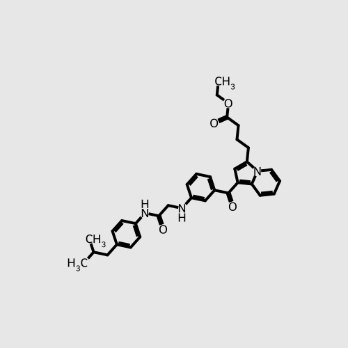 CCOC(=O)CCCc1cc(C(=O)c2cccc(NCC(=O)Nc3ccc(CC(C)C)cc3)c2)c2ccccn12